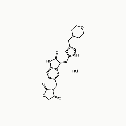 Cl.O=C1Nc2ccc(CN3C(=O)COC3=O)cc2C1=Cc1cc(CN2CCOCC2)c[nH]1